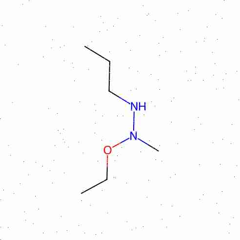 CCCNN(C)OCC